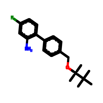 CC(C)(C)[Si](C)(C)OCc1ccc(-c2ccc(F)cc2N)cc1